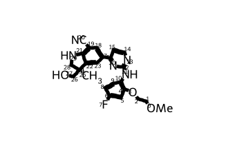 COCCOc1cc(F)ccc1Nc1nccc(-c2cc(C#N)c3c(c2)[C@@](C)(CO)CN3)n1